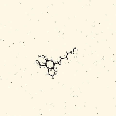 COCCCOc1cc(O)c(C=O)c2c1OCC2